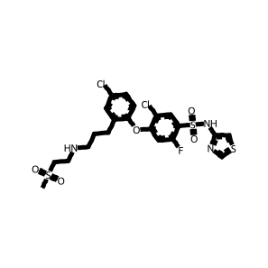 CS(=O)(=O)CCNCCCc1cc(Cl)ccc1Oc1cc(F)c(S(=O)(=O)Nc2cscn2)cc1Cl